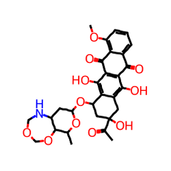 COc1cccc2c1C(=O)c1c(O)c3c(c(O)c1C2=O)CC(O)(C(C)=O)CC3OC1CC2NCOCOC2C(C)O1